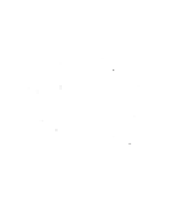 C=C1NC(=O)C=CN1[C@@H]1O[C@@](COP(=O)(O)OP(=O)(O)OP(=O)(O)O)(C(C)F)[C@@H](O)[C@H]1Cl